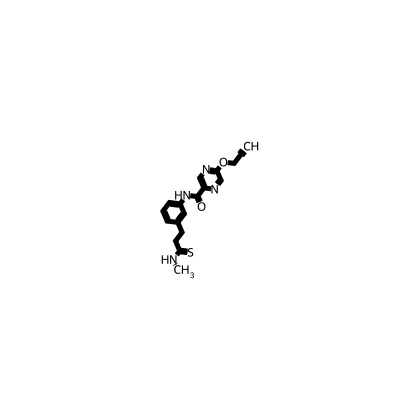 C#CCOc1cnc(C(=O)Nc2cccc(CCC(=S)NC)c2)cn1